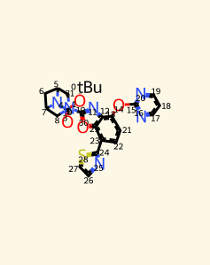 CC(C)(C)OC(=O)N1C2CC1CN(c1nc3c(Oc4ncccn4)ccc(-c4nccs4)c3o1)C2